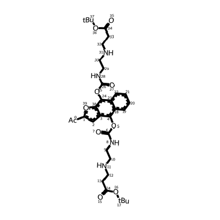 CC(=O)c1cc2c(OC(=O)NCCNCCC(=O)OC(C)(C)C)c3ccccc3c(OC(=O)NCCNCCC(=O)OC(C)(C)C)c2o1